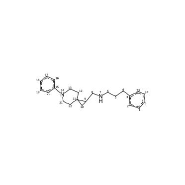 c1ccc(CCCNCC2CC23CCN(c2ccccc2)CC3)cc1